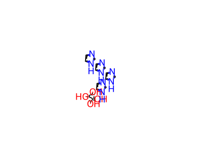 O[Si](O)(O)O.c1c[nH]cn1.c1c[nH]cn1.c1c[nH]cn1.c1c[nH]cn1